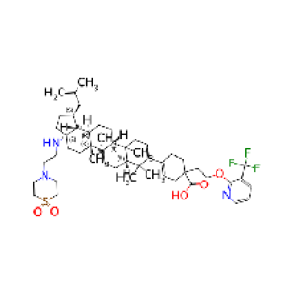 C=C(C)C[C@@H]1CC[C@]2(NCCN3CCS(=O)(=O)CC3)CC[C@]3(C)[C@H](CC[C@@H]4C5(C)CC=C(C6=CCC(CCOc7ncccc7C(F)(F)F)(C(=O)O)CC6)C(C)(C)[C@@H]5CC[C@]43C)[C@@H]12